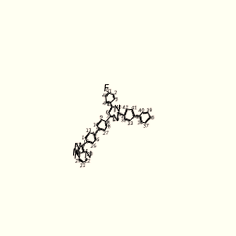 Fc1ccc(-c2cc(-c3ccc(-c4ccc(-c5nnn6cccnc56)cc4)cc3)nc(-c3ccc(-c4ccccc4)cc3)n2)cc1